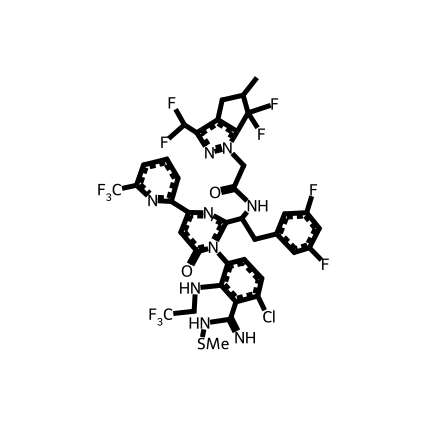 CSNC(=N)c1c(Cl)ccc(-n2c(C(Cc3cc(F)cc(F)c3)NC(=O)Cn3nc(C(F)F)c4c3C(F)(F)C(C)C4)nc(-c3cccc(C(F)(F)F)n3)cc2=O)c1NCC(F)(F)F